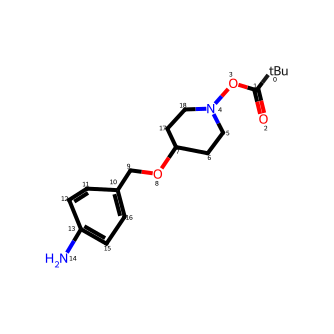 CC(C)(C)C(=O)ON1CCC(OCc2ccc(N)cc2)CC1